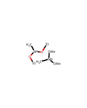 CCO[SiH](C)OCC.CO[SiH](C)OC